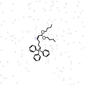 CCCCOC(/C=C\CCC=P(c1ccccc1)(c1ccccc1)c1ccccc1)OCCCC